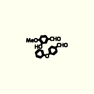 COc1ccc(C=O)cc1O.O=Cc1ccc(Oc2ccccc2)cc1